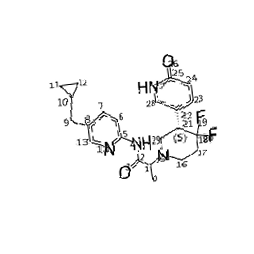 CC(C(=O)Nc1ccc(CC2CC2)cn1)N1CCC(F)(F)[C@@H](c2ccc(=O)[nH]c2)C1